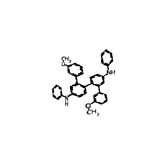 COc1cccc(-c2cc(Nc3ccccc3)ccc2-c2ccc(Nc3ccccc3)cc2-c2cccc(OC)c2)c1